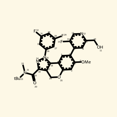 COc1cc2c(cc1-c1cc(CO)ncc1F)-c1c(c(C(=O)N(C)C(C)(C)C)nn1-c1cc(F)cc(F)c1)CO2